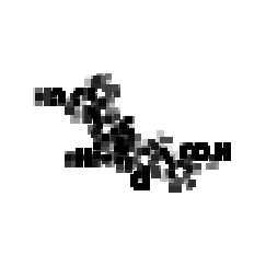 CCCCCCC(Oc1c(Cl)cc(Nc2ccccc2C(=O)O)cc1Cl)Oc1c(Cl)cc(Nc2ccccc2C(=O)O)cc1Cl